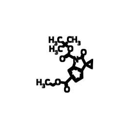 CCOC(=O)c1ccc2c(c1)N(C(=O)OC(C)(C)C)C(=O)C21CC1